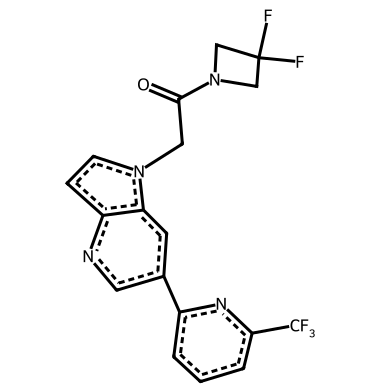 O=C(Cn1ccc2ncc(-c3cccc(C(F)(F)F)n3)cc21)N1CC(F)(F)C1